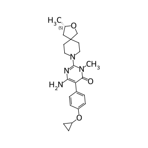 C[C@H]1CC2(CCN(c3nc(N)c(-c4ccc(OC5CC5)cc4)c(=O)n3C)CC2)CO1